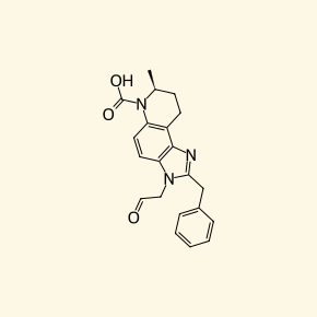 C[C@H]1CCc2c(ccc3c2nc(Cc2ccccc2)n3CC=O)N1C(=O)O